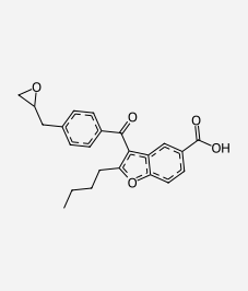 CCCCc1oc2ccc(C(=O)O)cc2c1C(=O)c1ccc(CC2CO2)cc1